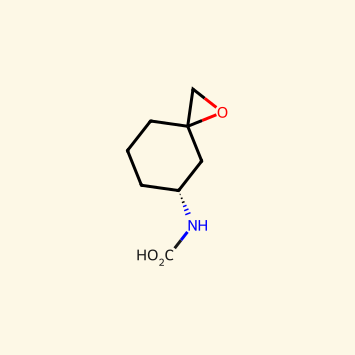 O=C(O)N[C@@H]1CCCC2(CO2)C1